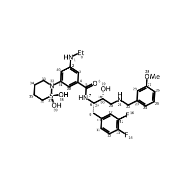 CCNc1cc(C(=O)N[C@@H](Cc2ccc(F)c(F)c2)[C@H](O)CNCc2cccc(OC)c2)cc(N2CCCCS2(O)O)c1